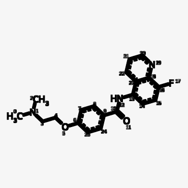 CN(C)CCOc1ccc(C(=O)Nc2ccc(F)c3ncccc23)cc1